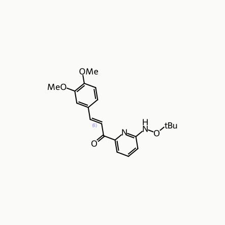 COc1ccc(/C=C/C(=O)c2cccc(NOC(C)(C)C)n2)cc1OC